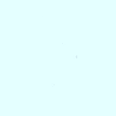 CCOc1ccc(-c2ccc(F)cc2)c(C(=O)O)c1